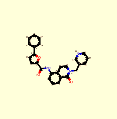 O=C(Nc1cccc2c(=O)n(Cc3cccnc3)ccc12)c1ccc(-c2ccccc2)o1